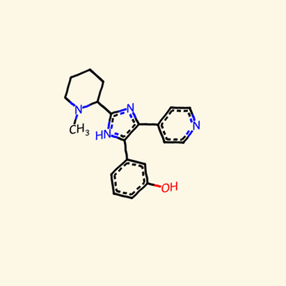 CN1CCCCC1c1nc(-c2ccncc2)c(-c2cccc(O)c2)[nH]1